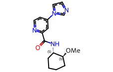 CO[C@H]1CCCC[C@@H]1NC(=O)c1cc(-n2ccnc2)ccn1